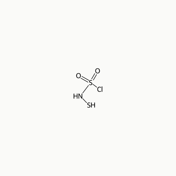 O=S(=O)(Cl)NS